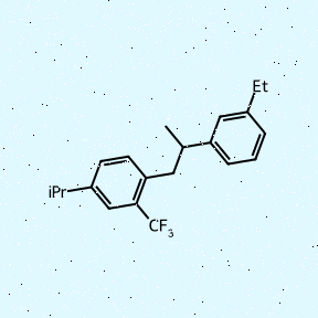 CCc1cccc(C(C)Cc2ccc(C(C)C)cc2C(F)(F)F)c1